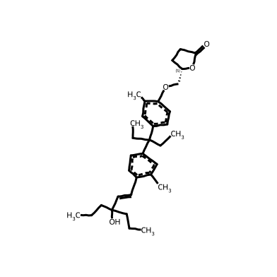 CCCC(O)(C=Cc1ccc(C(CC)(CC)c2ccc(OC[C@@H]3CCC(=O)O3)c(C)c2)cc1C)CCC